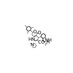 Cc1cc(C)c(C2CC3=C(C(=O)O2)C(c2cccc4[nH]ccc24)C(C(=O)O)=C([C@@H]2CCCN2C)N3)c(C)c1